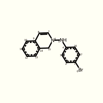 Brc1ccc(NN2C=Cc3ccccc3C2)cc1